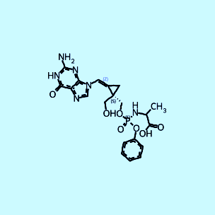 CC(N[P@](=O)(OC[C@@]1(CO)C/C1=C/n1cnc2c(=O)[nH]c(N)nc21)Oc1ccccc1)C(=O)O